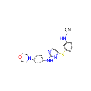 N#CCNc1cccc(Sc2ccnc(Nc3ccc(N4CCOCC4)cc3)n2)c1